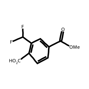 COC(=O)c1ccc(C(=O)O)c(C(F)F)c1